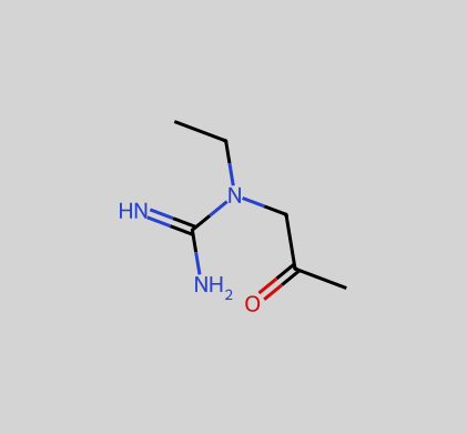 CCN(CC(C)=O)C(=N)N